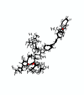 COC(=O)NC(C(=O)NC(Cc1ccc(C#Cc2cnc(N3CC4CCC(C3)N4C3COC3)c(C)c2)cc1)C(O)CN(Cc1c(F)cc(-c2cnn(C(F)F)c2)cc1F)NC(=O)C(NC(=O)O)C(C)(C)C(F)(F)F)C(C)(C)C(F)(F)F